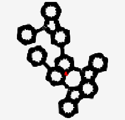 c1ccc(-c2ccc(-n3c4ccccc4c4ccc5c6ccccc6n(-c6cccc(-c7ccc8c9ccccc9n(-c9ccccc9)c8c7)c6)c5c43)cc2)cc1